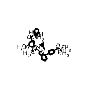 COc1cc(C(=O)N2C[C@H]3CC[C@@H]2C3N)cc2nc(-c3cc4cccc(-c5ccc(C(=O)N(C)C)cc5)c4n3CC3CC3)n(C)c12